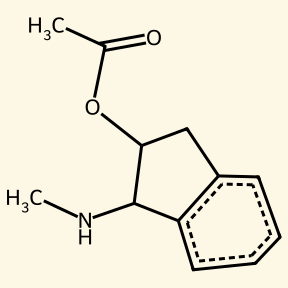 CNC1c2ccccc2CC1OC(C)=O